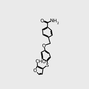 NC(=O)c1ccc(COc2ccc(Sc3ccoc3C=O)cc2)cc1